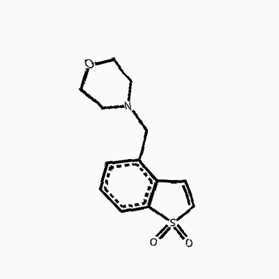 O=S1(=O)C=Cc2c(CN3CCOCC3)cccc21